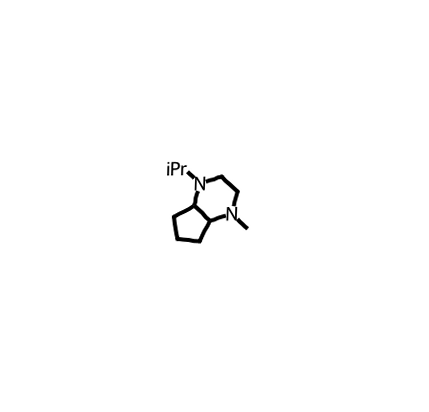 CC(C)N1CCN(C)C2CCCC21